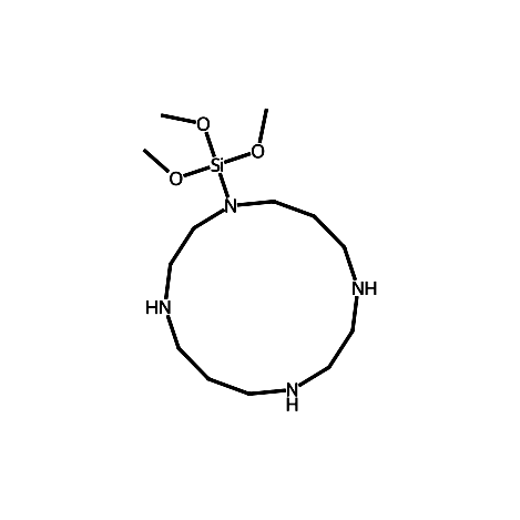 CO[Si](OC)(OC)N1CCCNCCNCCCNCC1